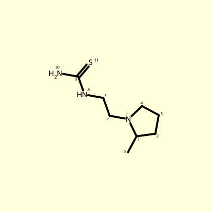 CC1CCCN1CCNC(N)=S